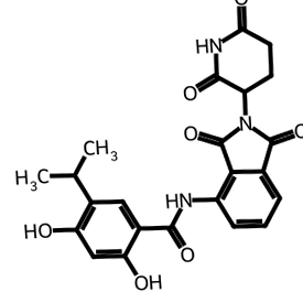 CC(C)c1cc(C(=O)Nc2cccc3c2C(=O)N(C2CCC(=O)NC2=O)C3=O)c(O)cc1O